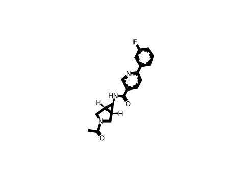 CC(=O)N1C[C@@H]2[C@H](C1)[C@H]2NC(=O)c1ccc(-c2cccc(F)c2)nc1